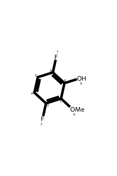 COc1c(F)ccc(F)c1O